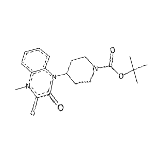 Cn1c(=O)c(=O)n(C2CCN(C(=O)OC(C)(C)C)CC2)c2ccccc21